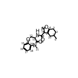 CC1CCc2onc(C(=O)N[C@H]3COc4ccccc4N(C)C3=O)c2C1